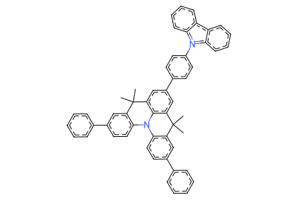 CC1(C)c2cc(-c3ccccc3)ccc2N2c3ccc(-c4ccccc4)cc3C(C)(C)c3cc(-c4ccc(-n5c6ccccc6c6ccccc65)cc4)cc1c32